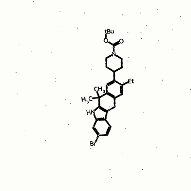 CCc1cc2c(cc1C1CCN(C(=O)OC(C)(C)C)CC1)C(C)(C)c1[nH]c3cc(Br)ccc3c1C2